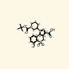 CC(C)(C)OC(=O)N1CCCC(n2nc(C(=O)O)c3c2-c2cccc(F)c2S(=O)(=O)C3)C1